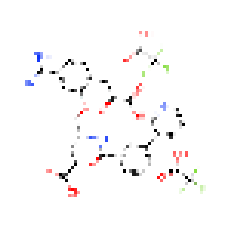 N=C(N)c1ccc(CC(=O)C(=O)O)c(OC[C@@H](CCC(=O)O)NC(=O)c2cccc(-c3cccnc3)c2)c1.O=C(O)C(F)(F)F.O=C(O)C(F)(F)F